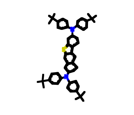 CC(C)(C)c1ccc(N(c2ccc(C(C)(C)C)cc2)c2ccc3cc4c(cc3c2)sc2cc(N(c3ccc(C(C)(C)C)cc3)c3ccc(C(C)(C)C)cc3)ccc24)cc1